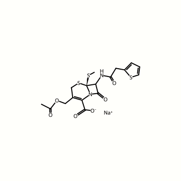 CS[C@]12SCC(COC(C)=O)=C(C(=O)[O-])N1C(=O)C2NC(=O)Cc1cccs1.[Na+]